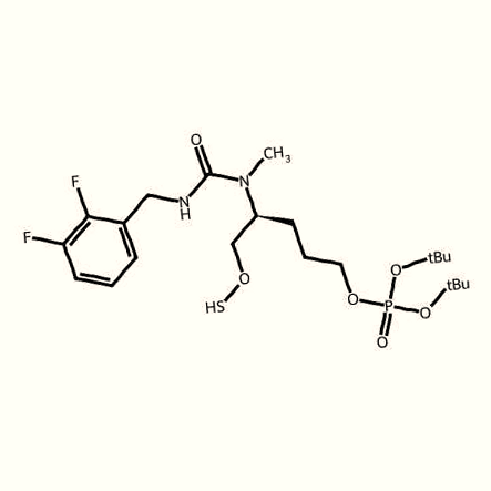 CN(C(=O)NCc1cccc(F)c1F)[C@@H](CCCOP(=O)(OC(C)(C)C)OC(C)(C)C)COS